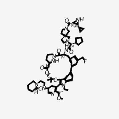 CCn1c(C2=C([C@H](C)OC)N=CC(N3CCN4CCCC[C@@H]4C3)C2)c2c3cc(ccc31)-c1cc(CF)cc(c1)C[C@H](NC(=O)[C@H](C1CCCC1)N1CC[C@]3(CCN(C(=O)[C@@H]4N[C@@H]4C4CC4)C3)C1)C(=O)N1CCC[C@H](N1)C(=O)OCC(C)(C)C2